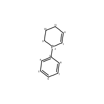 C1=CP(c2ccccc2)CCC1